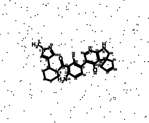 Cn1cc(C2CCCCN2C(=O)c2c(N)ccc(-c3cnc4c(c3Cl)C3(CC=CC3)CN4)c2F)cn1